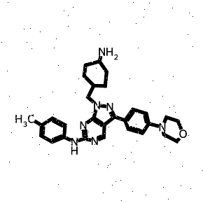 Cc1ccc(Nc2ncc3c(-c4ccc(N5CCOCC5)cc4)nn(CC4CCC(N)CC4)c3n2)cc1